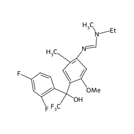 CCN(C)/C=N/c1cc(OC)c(C(O)(c2ccc(F)cc2F)C(F)(F)F)cc1C